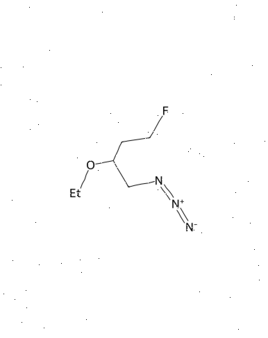 CCOC(CCF)CN=[N+]=[N-]